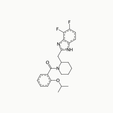 CC(C)Oc1ccccc1C(=O)N1CCCCC1Cc1nc2c(F)c(F)ccc2[nH]1